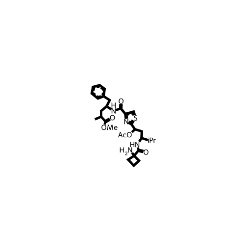 COC(=O)C(C)CC(Cc1ccccc1)NC(=O)c1csc(C(CC(NC(=O)C2(N)CCC2)C(C)C)OC(C)=O)n1